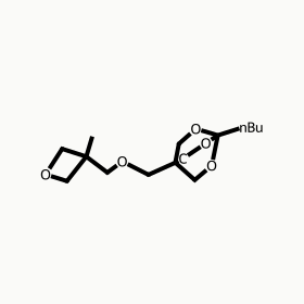 CCCCC12OCC(COCC3(C)COC3)(CO1)CO2